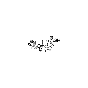 O=C(NC1CCC12CCN(C(=O)O)CC2)OCc1cscn1